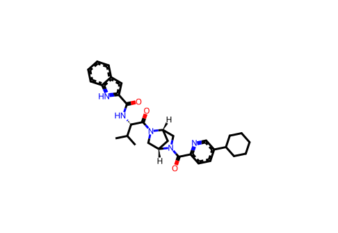 CC(C)[C@H](NC(=O)c1cc2ccccc2[nH]1)C(=O)N1C[C@@H]2C[C@H]1CN2C(=O)c1ccc(C2CCCCC2)cn1